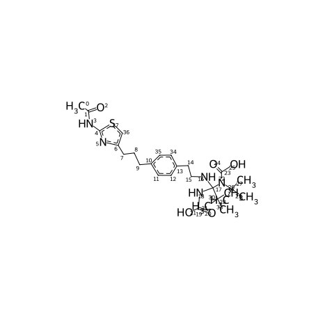 CC(=O)Nc1nc(CCCc2ccc(CCNC(NC(=O)O)(N(C(=O)O)C(C)(C)C)C(C)(C)C)cc2)cs1